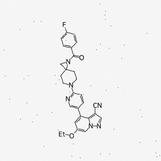 CCOc1cc(-c2ccc(N3CCC4(CC3)CN4C(=O)c3ccc(F)cc3)nc2)c2c(C#N)cnn2c1